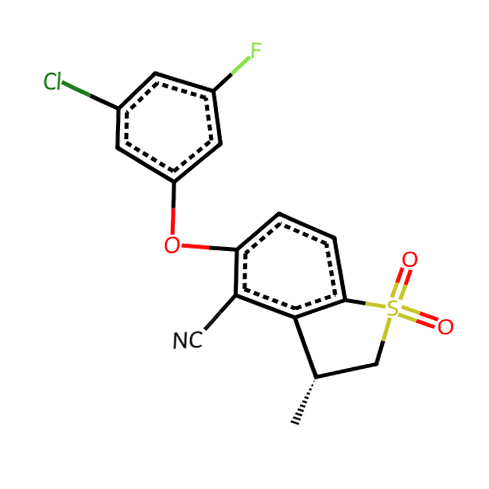 C[C@H]1CS(=O)(=O)c2ccc(Oc3cc(F)cc(Cl)c3)c(C#N)c21